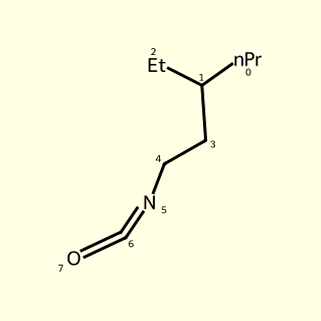 CCCC(CC)CCN=C=O